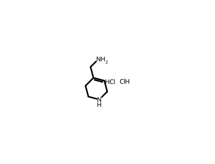 Cl.Cl.NCC1=CCNCC1